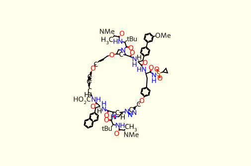 CN[C@@H](C)C(=O)N[C@H](C(=O)N1CC2CC1C(=O)N[C@@H](Cc1ccc(-c3cccc(OC)c3)cc1)C(=O)NC(C(=O)NS(=O)(=O)C1CC1)Cc1ccc(cc1)OCc1cn(nn1)[C@H]1C[C@@H](C(=O)N[C@@H](Cc3ccc4ccccc4c3)C(=O)N[C@H](C(=O)O)Cc3ccc(cc3)OC/C=C/CO2)N(C(=O)[C@@H](NC(=O)[C@H](C)NC)C(C)(C)C)C1)C(C)(C)C